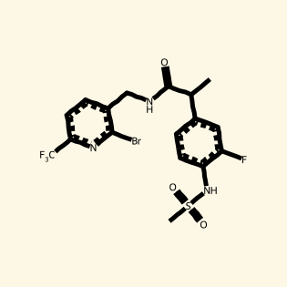 CC(C(=O)NCc1ccc(C(F)(F)F)nc1Br)c1ccc(NS(C)(=O)=O)c(F)c1